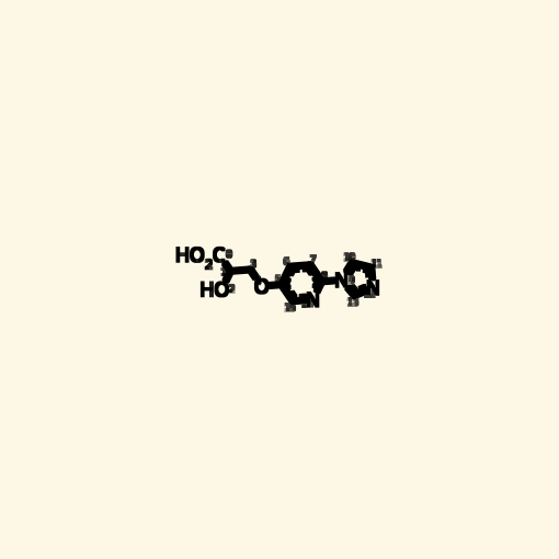 O=C(O)C(O)COc1ccc(-n2ccnc2)nc1